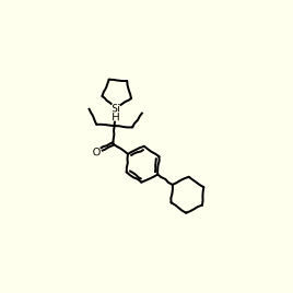 CCC(CC)(C(=O)c1ccc(C2CCCCC2)cc1)[SiH]1CCCC1